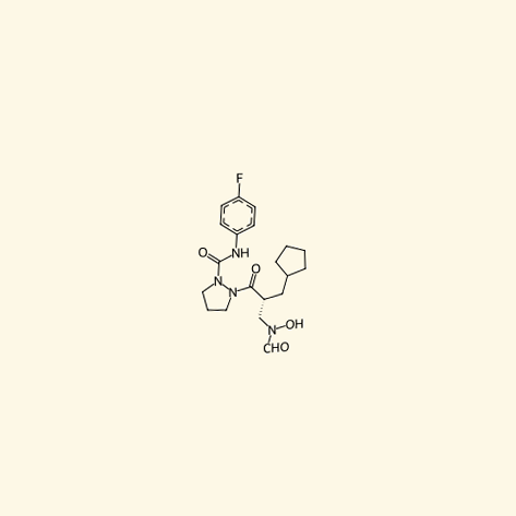 O=CN(O)C[C@@H](CC1CCCC1)C(=O)N1CCCN1C(=O)Nc1ccc(F)cc1